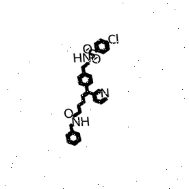 O=C(CCC/C=C(/c1ccc(CCNS(=O)(=O)c2ccc(Cl)cc2)cc1)c1cccnc1)NCc1ccccc1